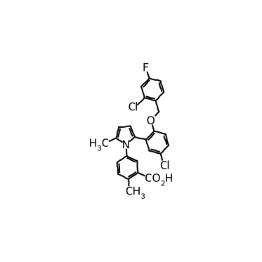 Cc1ccc(-n2c(C)ccc2-c2cc(Cl)ccc2OCc2ccc(F)cc2Cl)cc1C(=O)O